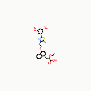 CCOC(Cc1ccc(OCCc2nc(-c3cc(OC)cc(OC)c3)sc2C)c2ccccc12)C(=O)O